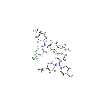 Cc1ccc(N(c2ccc(Br)cc2)c2ccc3c(c2)-c2cc(N(c4ccc(C)cc4)c4ccc(Br)cc4)ccc2C3(C)C)cc1